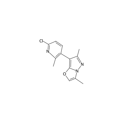 Cc1nc(Cl)ccc1-c1c(C)nn2c(C)coc12